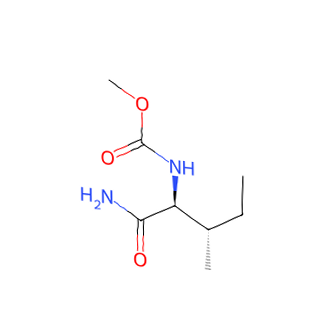 CC[C@H](C)[C@H](NC(=O)OC)C(N)=O